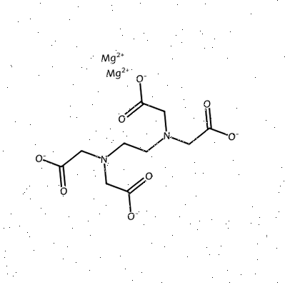 O=C([O-])CN(CCN(CC(=O)[O-])CC(=O)[O-])CC(=O)[O-].[Mg+2].[Mg+2]